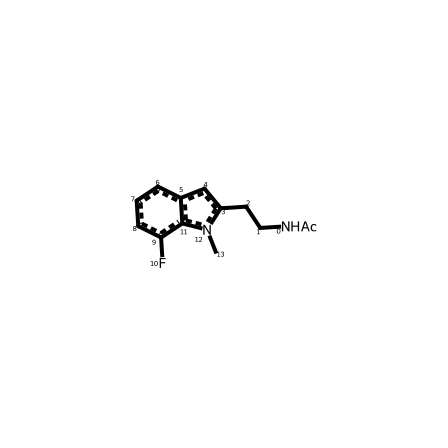 CC(=O)NCCc1cc2cccc(F)c2n1C